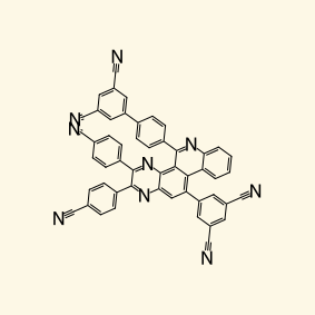 N#Cc1ccc(-c2nc3cc(-c4cc(C#N)cc(C#N)c4)c4c5ccccc5nc(-c5ccc(-c6cc(C#N)cc(C#N)c6)cc5)c4c3nc2-c2ccc(C#N)cc2)cc1